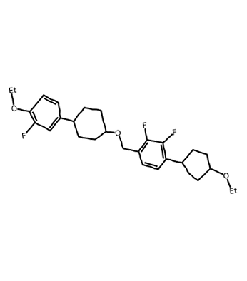 CCOc1ccc(C2CCC(OCc3ccc(C4CCC(OCC)CC4)c(F)c3F)CC2)cc1F